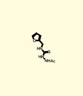 CC(=O)NNC(=S)NCc1ccco1